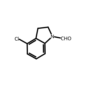 O=CN1CCc2c(Cl)cccc21